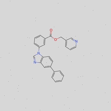 O=C(OCc1cccnc1)c1cccc(-n2cnc3cc(-c4ccccc4)ccc32)c1